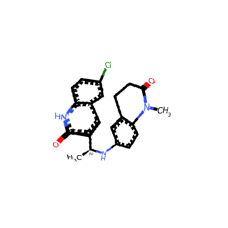 C[C@H](Nc1ccc2c(c1)CCC(=O)N2C)c1cc2cc(Cl)ccc2[nH]c1=O